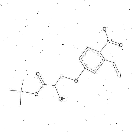 CC(C)(C)OC(=O)C(O)COc1ccc([N+](=O)[O-])c(C=O)c1